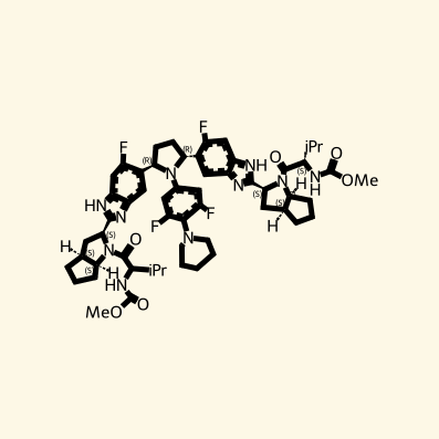 COC(=O)NC(C(=O)N1[C@H](c2nc3cc([C@H]4CC[C@H](c5cc6nc([C@@H]7C[C@@H]8CCC[C@@H]8N7C(=O)[C@@H](NC(=O)OC)C(C)C)[nH]c6cc5F)N4c4cc(F)c(N5CCCCC5)c(F)c4)c(F)cc3[nH]2)C[C@@H]2CCC[C@@H]21)C(C)C